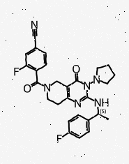 C[C@H](Nc1nc2c(c(=O)n1N1CCCC1)CN(C(=O)c1ccc(C#N)cc1F)CC2)c1ccc(F)cc1